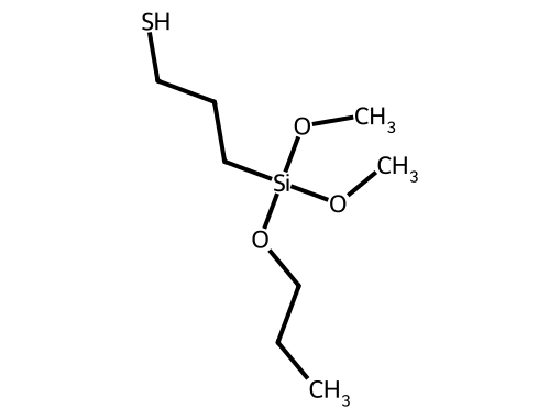 CCCO[Si](CCCS)(OC)OC